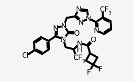 O=C(NC(Cn1c(-c2ccc(Cl)cc2)nn(Cc2ncn(-c3ncccc3C(F)(F)F)n2)c1=O)C(F)(F)F)C1CC(F)(F)C1